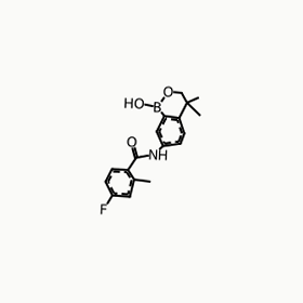 Cc1cc(F)ccc1C(=O)Nc1ccc2c(c1)B(O)OCC2(C)C